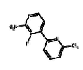 O=[N+]([O-])c1cccc(-c2[c]ccc(C(F)(F)F)n2)c1F